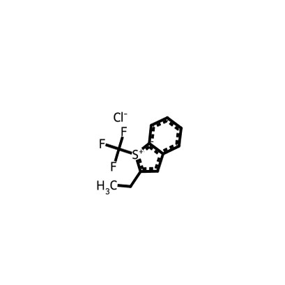 CCc1cc2ccccc2[s+]1C(F)(F)F.[Cl-]